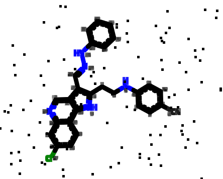 N#Cc1ccc(NCCc2[nH]c3c(cnc4cc(Cl)ccc43)c2C=NNc2ccccc2)cc1